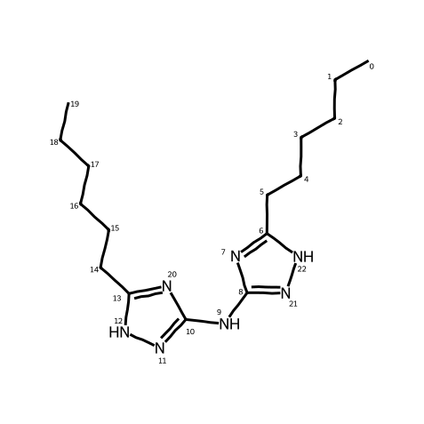 CCCCCCc1nc(Nc2n[nH]c(CCCCCC)n2)n[nH]1